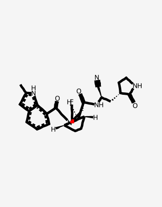 Cc1cc2cccc(C(=O)N3[C@H]4CC[C@@H]([C@@H]3C(=O)N[C@@H](C#N)C[C@@H]3CCNC3=O)C(F)(F)C4)c2[nH]1